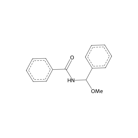 COC(NC(=O)c1ccccc1)c1ccccc1